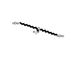 C=C.CCCCCCCCCCCCCCCCCCCCCCOCCCCCCCCCCCCCCCCCCCCCC.O